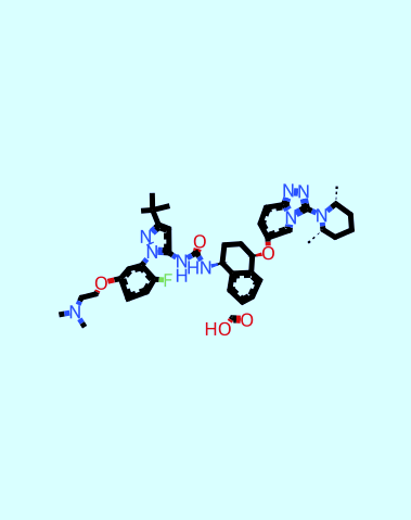 C[C@@H]1CCC[C@H](C)N1c1nnc2ccc(O[C@@H]3CC[C@H](NC(=O)Nc4cc(C(C)(C)C)nn4-c4cc(OCCN(C)C)ccc4F)c4ccccc43)cn12.O=CO